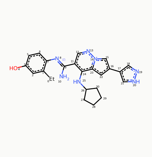 CCc1cc(O)ccc1/N=C(\N)c1cnn2cc(-c3cn[nH]c3)cc2c1NC1CCCC1